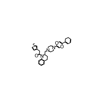 O=C(Cc1ccsc1)N1c2ccccc2CCC1CN1CCN(C2=COC(C3=CC=CCC3)=CO2)CC1